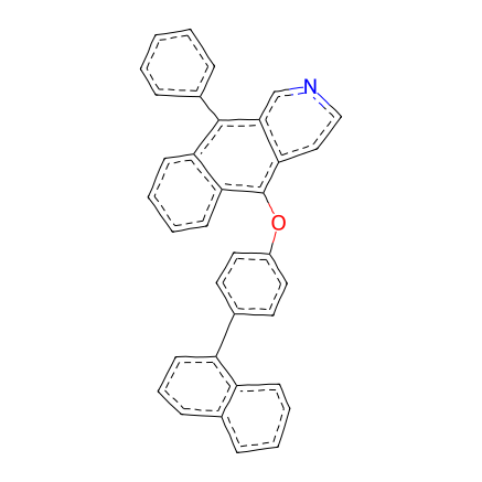 c1ccc(-c2c3ccccc3c(Oc3ccc(-c4cccc5ccccc45)cc3)c3ccncc23)cc1